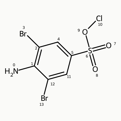 Nc1c(Br)cc(S(=O)(=O)OCl)cc1Br